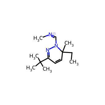 CCC1(C)C=CC(C(C)(C)C)=NN1/C=N\C